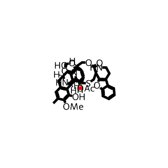 COc1c(C)cc2c(c1O)[C@H]1N[C@@H](C2)[C@H](O)N2[C@H]1[C@@H]1SC[C@]3(NCCc4c3oc3ccccc43)C(=O)OC[C@H]2c2c3c(c(C)c(OC(C)=O)c21)OCO3